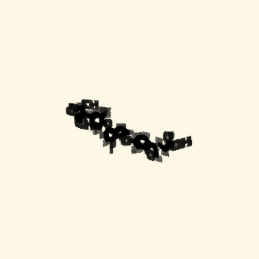 Cc1noc(C)c1-c1ccc(Oc2ccc(F)c3c2CC[C@H]3Oc2ccc3c(c2)OC[C@H]3CCC(=O)O)c(F)c1